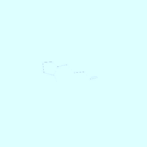 C=CCCCC1CCCC1O